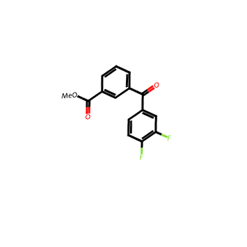 COC(=O)c1cccc(C(=O)c2ccc(F)c(F)c2)c1